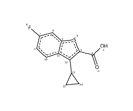 O=C(O)c1sc2cc(F)ccc2c1C1CC1